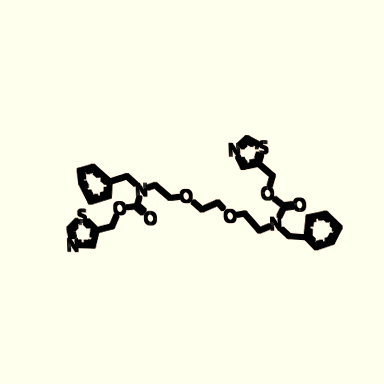 O=C(OCc1cncs1)N(CCOCCOCCN(Cc1ccccc1)C(=O)OCc1cncs1)Cc1ccccc1